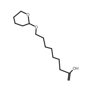 C=C(O)CCCCCCCOC1CCCCO1